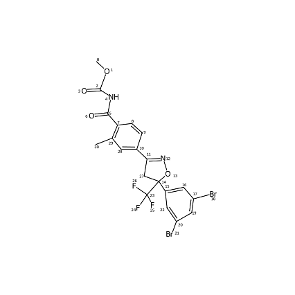 COC(=O)NC(=O)c1ccc(C2=NOC(c3cc(Br)cc(Br)c3)(C(F)(F)F)C2)cc1C